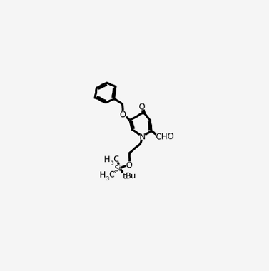 CC(C)(C)[Si](C)(C)OCCn1cc(OCc2ccccc2)c(=O)cc1C=O